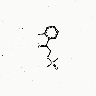 Cc1ccccc1C(=O)COP(C)(C)=O